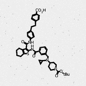 CC(C)(C)OC(=O)N1CCC(N(Cc2cccc(C(=O)Nc3sc4c(c3C(=O)Nc3ccc(CCc5ccc(C(=O)O)cc5)cc3)CCCC4)c2)C2CC2)CC1